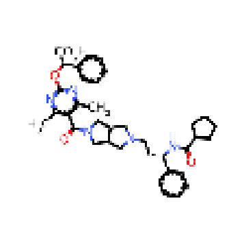 Cc1nc(O[C@@H](C(=O)O)c2ccccc2)nc(C)c1C(=O)N1CC2CN(CC[C@H](NC(=O)C3CCCC3)c3ccccc3)CC2C1